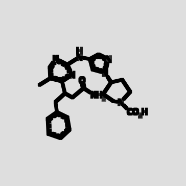 Cc1cnc(Nc2cnn(C3CCN(C(=O)O)CC3)c2)nc1C(CC(N)=O)Cc1ccccc1